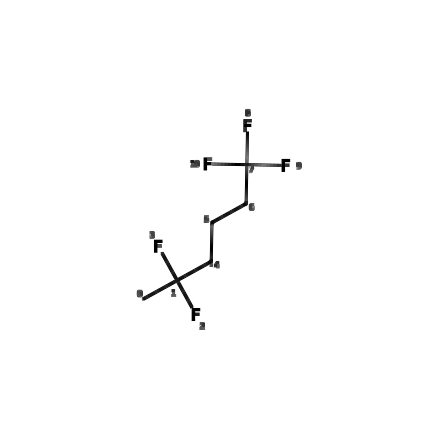 CC(F)(F)[CH]CCC(F)(F)F